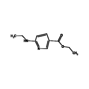 CCNc1ccc(C(=O)OCC)cn1